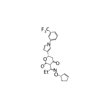 CCC(=NOC1C=CCC1)C1C(=O)CC(c2ccn(-c3cccc(C(F)(F)F)c3)c2)OC1=O